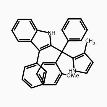 COc1ccccc1C(c1ccccc1)(c1[nH]ccc1C)c1[nH]c2ccccc2c1-c1ccccc1